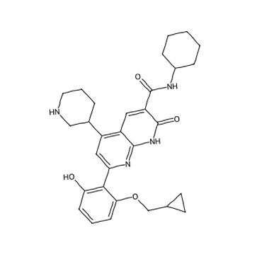 O=C(NC1CCCCC1)c1cc2c(C3CCCNC3)cc(-c3c(O)cccc3OCC3CC3)nc2[nH]c1=O